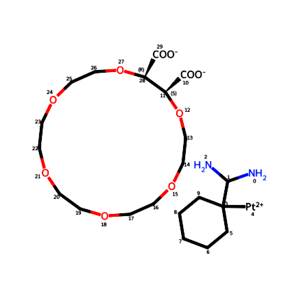 NC(N)[C]1([Pt+2])CCCCC1.O=C([O-])[C@H]1OCCOCCOCCOCCOCCO[C@H]1C(=O)[O-]